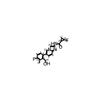 Cc1c(F)ccc(-c2ccc3nc(NC(=O)C4CC4F)cn3c2)c1CO